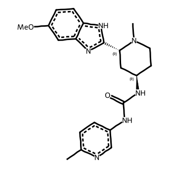 COc1ccc2[nH]c([C@H]3C[C@H](NC(=O)Nc4ccc(C)nc4)CCN3C)nc2c1